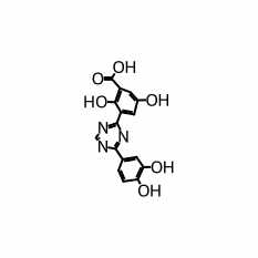 O=C(O)c1cc(O)cc(-c2ncnc(-c3ccc(O)c(O)c3)n2)c1O